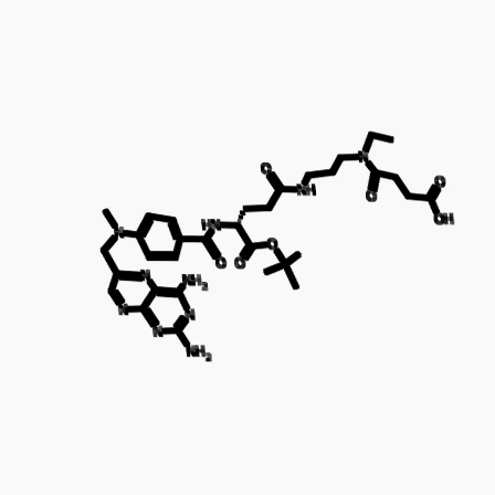 CCN(CCCNC(=O)CC[C@@H](NC(=O)c1ccc(N(C)Cc2cnc3nc(N)nc(N)c3n2)cc1)C(=O)OC(C)(C)C)C(=O)CCC(=O)O